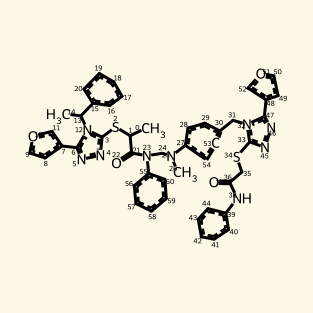 CC(Sc1nnc(-c2ccoc2)n1C(C)c1ccccc1)C(=O)N(CN(C)c1ccc(Cn2c(SCC(=O)Nc3ccccc3)nnc2-c2ccoc2)cc1)c1ccccc1